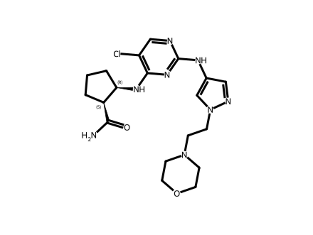 NC(=O)[C@H]1CCC[C@H]1Nc1nc(Nc2cnn(CCN3CCOCC3)c2)ncc1Cl